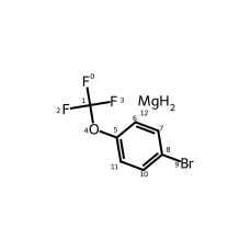 FC(F)(F)Oc1ccc(Br)cc1.[MgH2]